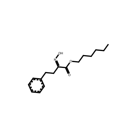 CCCCCCOC(=O)C(CCc1ccccc1)=NO